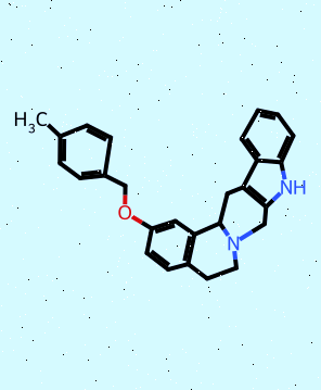 Cc1ccc(COc2ccc3c(c2)C2Cc4c([nH]c5ccccc45)CN2CC3)cc1